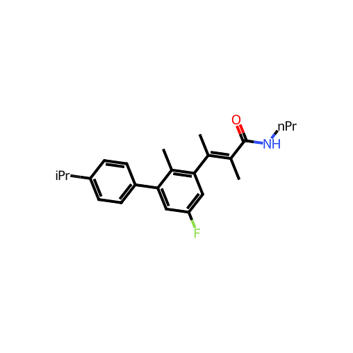 CCCNC(=O)/C(C)=C(\C)c1cc(F)cc(-c2ccc(C(C)C)cc2)c1C